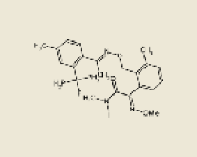 CO/N=C(/C(=O)N(C)I)c1cccc(C)c1CO/N=C(\C)c1ccc(C)cc1C(F)(P)P